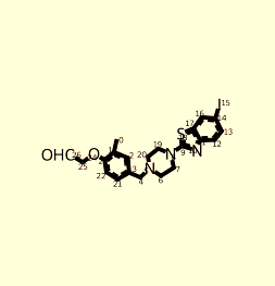 Cc1cc(CN2CCN(c3nc4ccc(I)cc4s3)CC2)ccc1OCC=O